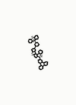 c1cc(-c2ccc3sc4ccc5c(-c6ccc7c8ccccc8c8ccccc8c7c6)nc6ccccc6c5c4c3c2)cc(N2c3ccccc3Sc3ccccc32)c1